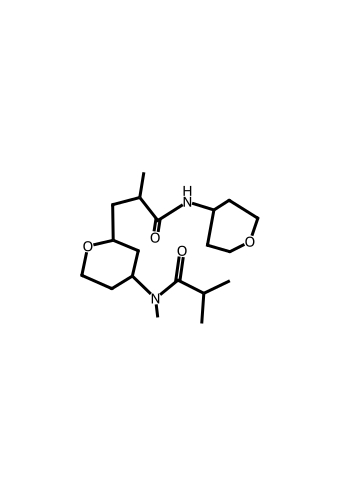 CC(C)C(=O)N(C)C1CCOC(CC(C)C(=O)NC2CCOCC2)C1